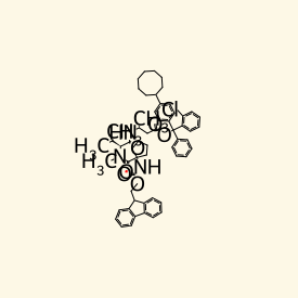 CC(C)[C@@H](C(=O)N[C@H](C)CC(=O)OC(c1ccccc1)(c1ccc(C2CCCCCCC2)cc1)c1ccccc1Cl)N(C)C(=O)C1(NC(=O)OCC2c3ccccc3-c3ccccc32)CCCC1